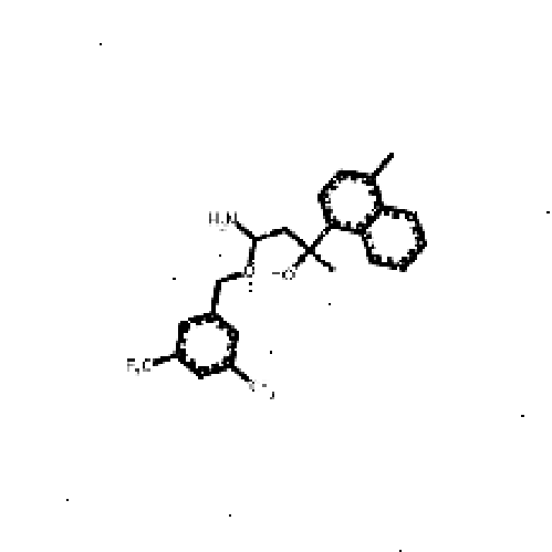 Cc1ccc(C(C)(O)CC(N)OCc2cc(C(F)(F)F)cc(C(F)(F)F)c2)c2ccccc12